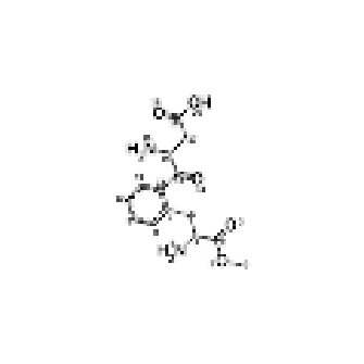 COC(=O)C(N)Cc1ccccc1C(=O)C(N)CC(=O)O